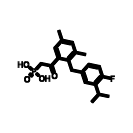 Cc1cc(C)c(Cc2ccc(F)c(C(C)C)c2)c(C(=O)CP(=O)(O)O)c1